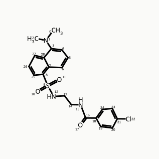 CN(C)c1cccc2c(S(=O)(=O)NCCNC(=O)c3ccc(Cl)cc3)cccc12